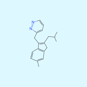 C[C](C)CC1=C(Cc2cccnn2)c2ccc(C)cc2C1